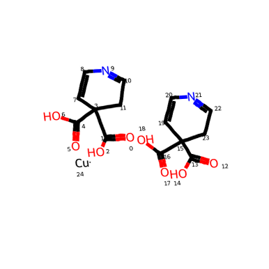 O=C(O)C1(C(=O)O)C=CN=CC1.O=C(O)C1(C(=O)O)C=CN=CC1.[Cu]